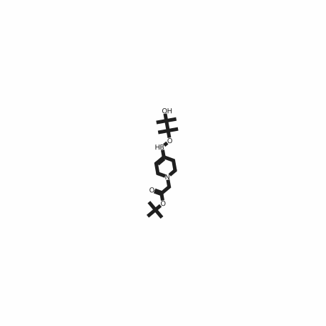 CC(C)(C)OC(=O)CN1CC=C(BOC(C)(C)C(C)(C)O)CC1